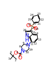 CC(C)(C)OC(=O)N1CCN(c2cccc3c(S(=O)(=O)c4ccccc4)c[nH]c23)CC1